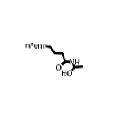 CCCCCCCCC(=O)NC(C)O